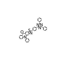 O=c1c2ccccc2n(-c2ccccc2)c2cc3nc(-c4ccc(-c5nc(-c6ccccc6)nc(-c6ccccc6)n5)cc4)sc3cc12